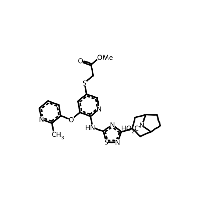 COC(=O)CSc1cnc(Nc2nc(C3CC4CCC(C3)N4C(=O)O)ns2)c(Oc2cccnc2C)c1